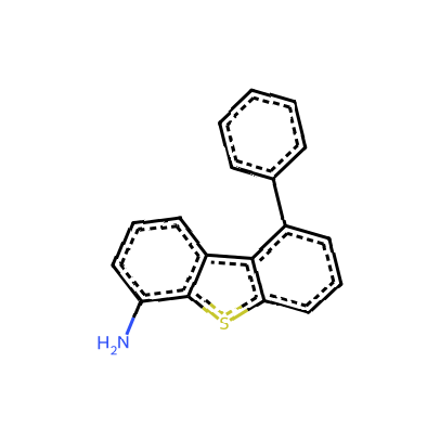 Nc1cccc2c1sc1cccc(-c3ccccc3)c12